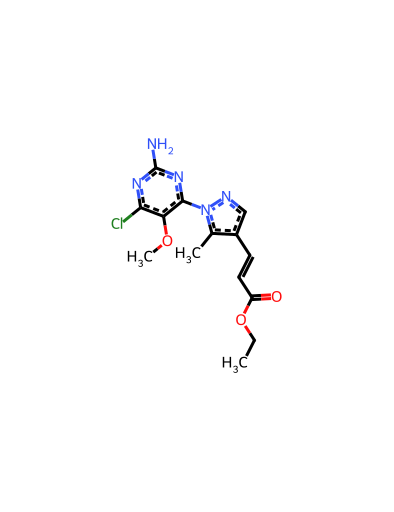 CCOC(=O)C=Cc1cnn(-c2nc(N)nc(Cl)c2OC)c1C